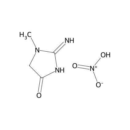 CN1CC(=O)NC1=N.O=[N+]([O-])O